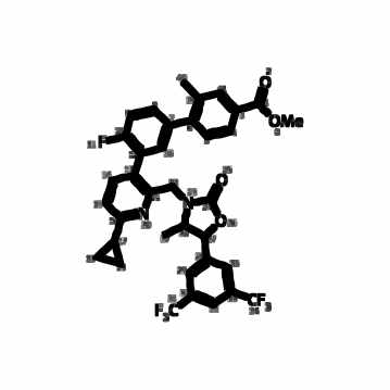 COC(=O)c1ccc(-c2ccc(F)c(-c3ccc(C4CC4)nc3CN3C(=O)OC(c4cc(C(F)(F)F)cc(C(F)(F)F)c4)C3C)c2)c(C)c1